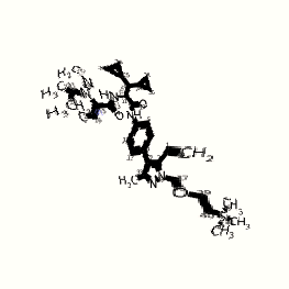 C=Cc1c(-c2ccc(NC(=O)[C@@H](NC(=O)/C(=C/C)N(N=C)C(C)C)C(C3CC3)C3CC3)cc2)c(C)nn1COCC[Si](C)(C)C